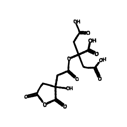 O=C(O)CC(CC(=O)O)(OC(=O)CC1(O)CC(=O)OC1=O)C(=O)O